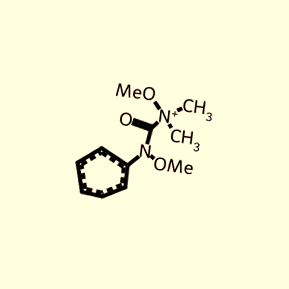 CON(C(=O)[N+](C)(C)OC)c1ccccc1